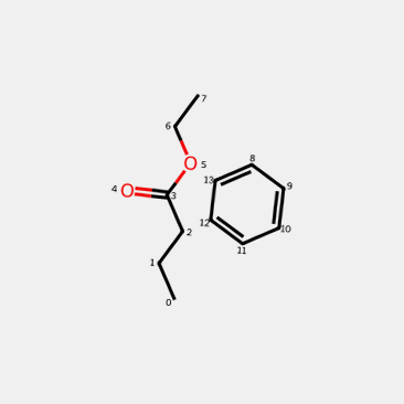 CCCC(=O)OCC.c1ccccc1